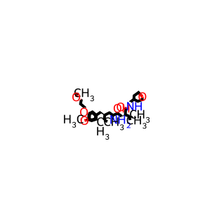 COCCCOc1cc(C[C@@H](C[C@H](N)[C@@H](O)C[C@H](C(=O)NCC2CCOCC2)C(C)C)C(C)C)ccc1OC